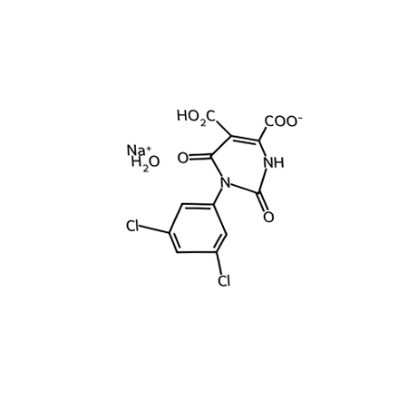 O.O=C([O-])c1[nH]c(=O)n(-c2cc(Cl)cc(Cl)c2)c(=O)c1C(=O)O.[Na+]